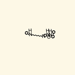 O=C(Nc1ccccc1-c1ccccc1)NC1CCN(CCCCCCCCCNCc2ccccc2)CC1